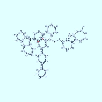 CC1=Cc2oc3c(CCC(c4cccc(-c5ccc(-c6ccccc6)cc5)c4)c4ccccc4-c4ccc(-n5c6ccccc6c6ccccc65)cc4)cccc3c2C=CC1